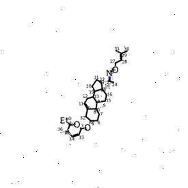 CC[C@H]1OC(O[C@H]2CC[C@@]3(C)C(=CCC4C3CC[C@@]3(C)C4CC[C@@H]3/C(C)=N/OCC=C(C)C)C2)C=C[C@@H]1C